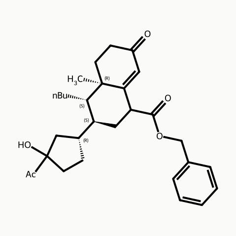 CCCC[C@H]1[C@H]([C@@H]2CCC(O)(C(C)=O)C2)CC(C(=O)OCc2ccccc2)C2=CC(=O)CC[C@@]21C